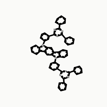 c1ccc(-c2nc(-c3ccccc3)nc(-c3cccc(-n4c5ccccc5c5cc6c(cc54)c4ccccc4n6-c4cccc(-c5nc(-c6ccccc6)nc(-c6ccccc6)n5)c4)c3)n2)cc1